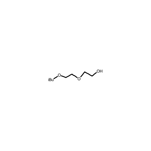 C[CH]C(C)OCCOCCO